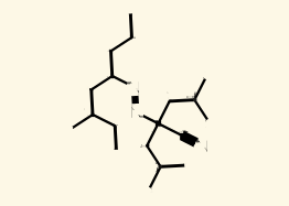 CCCC(CC(C)CC)N=NC(C#N)(CC(C)C)CC(C)C